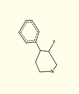 FC1C[N]CCC1c1ccccc1